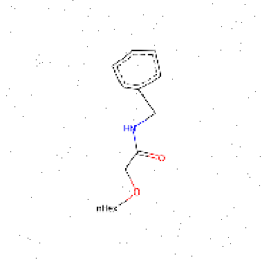 CCCCCCOCC(=O)NCc1ccccc1